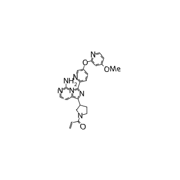 C=CC(=O)N1CCC(c2nc(-c3ccc(Oc4cc(OC)ccn4)cn3)n3c(N)nccc23)C1